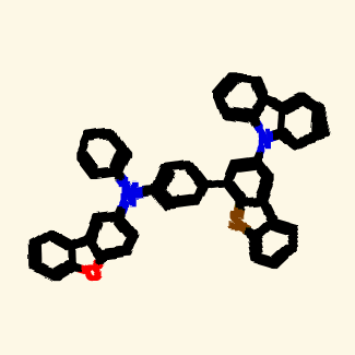 c1ccc(N(c2ccc(-c3cc(-n4c5ccccc5c5ccccc54)cc4c3sc3ccccc34)cc2)c2ccc3oc4ccccc4c3c2)cc1